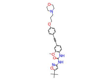 COc1cc(C#Cc2ccc(OCCCN3CCOCC3)cc2)ccc1NC(=O)Nc1cc(C(C)(C)C)on1